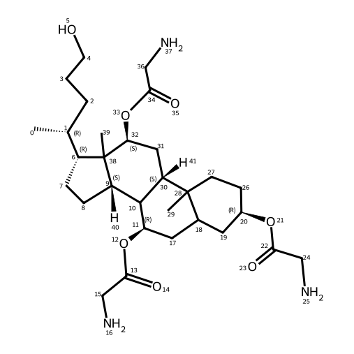 C[C@H](CCCO)[C@H]1CC[C@H]2C3[C@H](OC(=O)CN)CC4C[C@H](OC(=O)CN)CCC4(C)[C@H]3C[C@H](OC(=O)CN)C12C